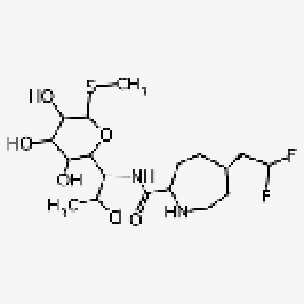 CSC1OC(C(NC(=O)C2CC[C@@H](CC(F)F)CCN2)C(C)Cl)C(O)C(O)C1O